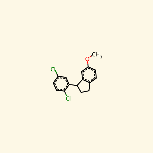 COc1ccc2c(c1)C(c1cc(Cl)ccc1Cl)CC2